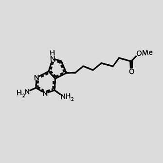 COC(=O)CCCCCCc1c[nH]c2nc(N)nc(N)c12